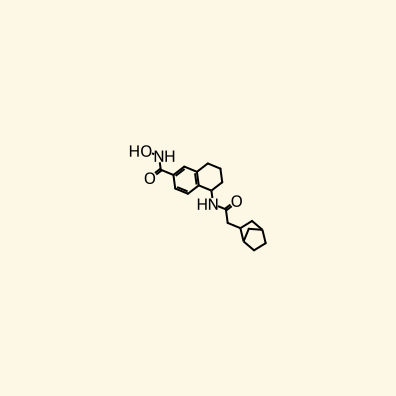 O=C(CC1CC2CCC1C2)NC1CCCc2cc(C(=O)NO)ccc21